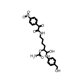 NC(=O)OC(CCCCNC(=O)C(=O)c1ccc([N+](=O)[O-])cc1)C(O)Nc1ccc(CO)cc1